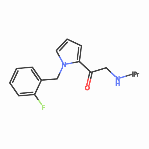 CC(C)NCC(=O)c1cccn1Cc1ccccc1F